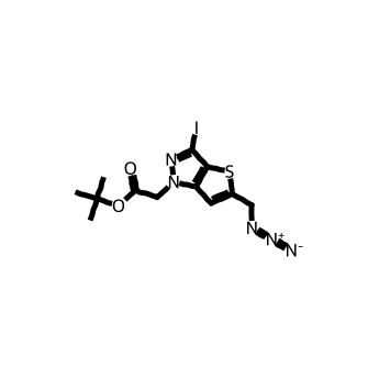 CC(C)(C)OC(=O)Cn1nc(I)c2sc(CN=[N+]=[N-])cc21